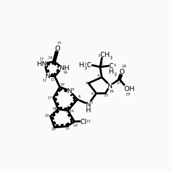 CC(C)(C)C1CC(Nc2nc(-c3n[nH]c(=O)[nH]3)cc3cccc(Cl)c23)CN1C(=O)O